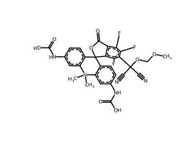 COCOC(C#N)(C#N)c1c(F)c(F)c2c(c1F)C1(OC2=O)c2ccc(NC(=O)O)cc2[Si](C)(C)c2cc(NC(=O)O)ccc21